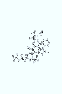 Cn1cnnc1-c1ccccc1-c1cc(NC2(CC#N)CC2)nc(N2Cc3c(cc(CN4CCC5(CC5)C4)cc3C(F)(F)F)C2=O)c1